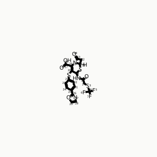 O=C(CSC(F)(F)F)NC1S[C@@H]2CC(=O)N2C(C(=O)O)=C1Sc1ccc(-c2ncco2)cc1